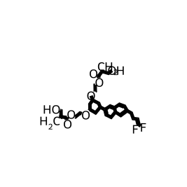 C=C(CO)C(=O)OCCOC1CC(OCCOC(=O)C(=C)CO)CC(C2=CCC3C=C(CCC=C(F)F)C=CC3=C2)C1